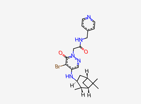 C[C@@H]1[C@@H](Nc2cnn(CC(=O)NCc3ccncc3)c(=O)c2Br)C[C@H]2C[C@@H]1C2(C)C